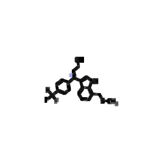 CSCc1cccc2c(/C(=C\CO)c3ccc(C(F)(F)F)cc3)c[nH]c12